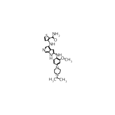 COc1cc(N2CCN(C(C)C)CC2)ccc1Nc1cc2c(Nc3ccsc3C(N)=O)cncc2[nH]1